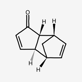 O=C1C=C[C@H]2[C@H]1[C@@H]1C=C[C@H]2C1